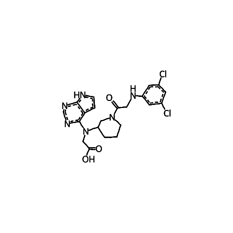 O=C(O)CN(c1ncnc2[nH]ccc12)C1CCCN(C(=O)CNc2cc(Cl)cc(Cl)c2)C1